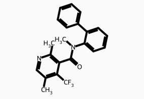 Cc1cnc(C)c(C(=O)N(C)c2ccccc2-c2ccccc2)c1C(F)(F)F